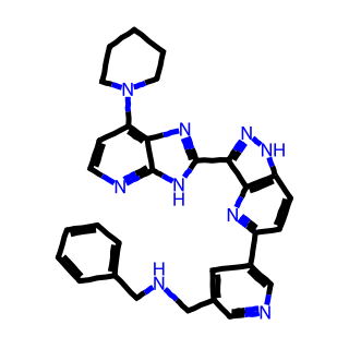 c1ccc(CNCc2cncc(-c3ccc4[nH]nc(-c5nc6c(N7CCCCC7)ccnc6[nH]5)c4n3)c2)cc1